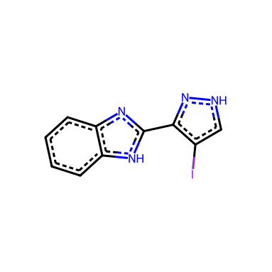 Ic1c[nH]nc1-c1nc2ccccc2[nH]1